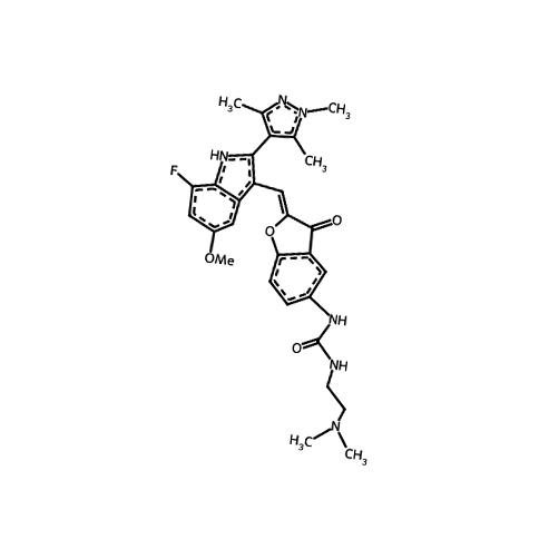 COc1cc(F)c2[nH]c(-c3c(C)nn(C)c3C)c(C=C3Oc4ccc(NC(=O)NCCN(C)C)cc4C3=O)c2c1